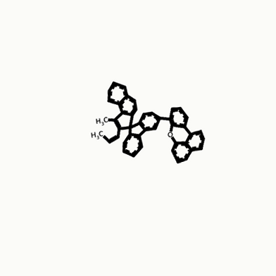 C/C=C\C1=C(C)c2c(ccc3ccccc23)C12c1ccccc1-c1cc(-c3cccc4c3Oc3cccc5cccc-4c35)ccc12